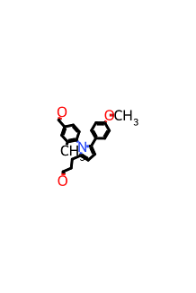 COc1ccc(-c2ccc(CCC=O)n2-c2ccc(C=O)cc2C)cc1